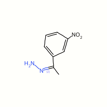 C/C(=N/N)c1cccc([N+](=O)[O-])c1